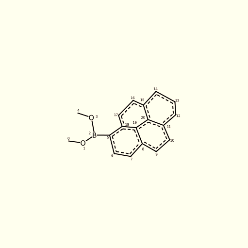 COB(OC)c1ccc2ccc3cccc4ccc1c2c34